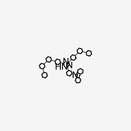 c1ccc(-c2cccc(-c3ccc(C4=NC(c5ccc(-c6cccc(-c7cccc(-c8ccccc8)c7)c6)cc5)NC(c5cccc(-n6c7ccccc7c7ccccc76)c5)=N4)cc3)c2)cc1